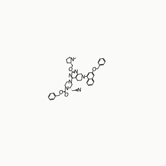 CN1CCC[C@@H]1COc1nc2c(c(N3CCN(C(=O)OCc4ccccc4)[C@@H](CC#N)C3)n1)CCN(c1cc(OCc3ccccc3)cc3ccccc13)C2